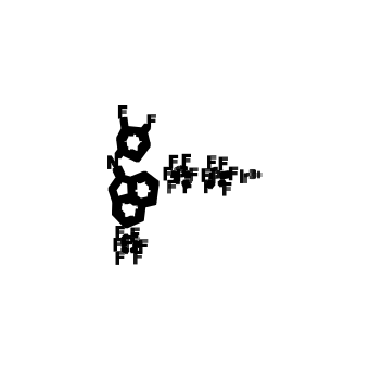 F[P-](F)(F)(F)(F)F.F[P-](F)(F)(F)(F)F.F[P-](F)(F)(F)(F)F.Fc1ccc(N=C2Cc3cccc4cccc2c34)cc1F.[Ir+3]